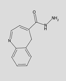 NNC(=O)C1=CC=Nc2ccccc2C1